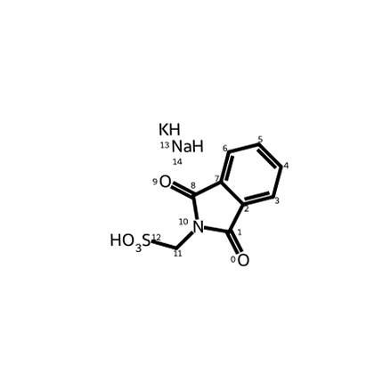 O=C1c2ccccc2C(=O)N1CS(=O)(=O)O.[KH].[NaH]